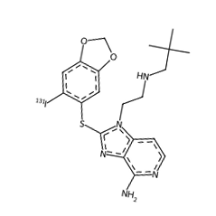 CC(C)(C)CNCCn1c(Sc2cc3c(cc2[131I])OCO3)nc2c(N)nccc21